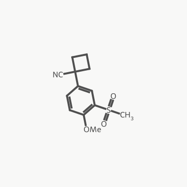 COc1ccc(C2(C#N)CCC2)cc1S(C)(=O)=O